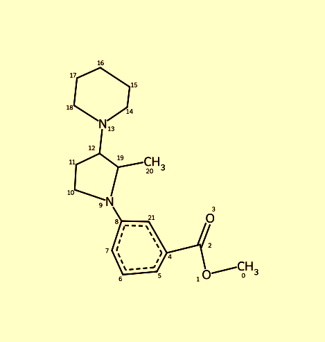 COC(=O)c1cccc(N2CCC(N3CCCCC3)C2C)c1